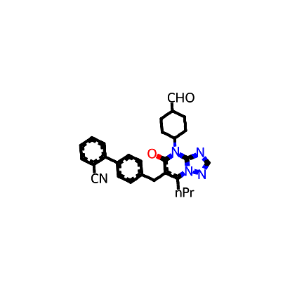 CCCc1c(Cc2ccc(-c3ccccc3C#N)cc2)c(=O)n(C2CCC(C=O)CC2)c2ncnn12